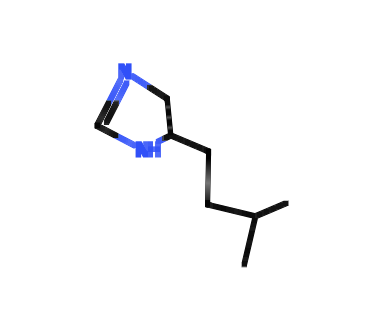 CC(C)CCC1CN=CN1